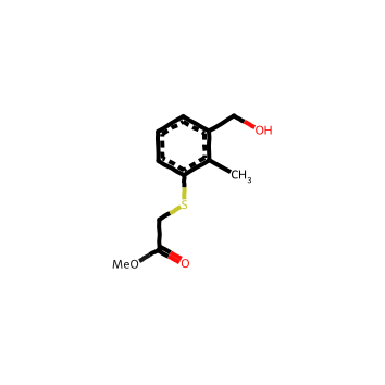 COC(=O)CSc1cccc(CO)c1C